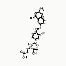 Nc1nc(O)c2nc(CNc3ccc(C(=O)NC(CCC(=O)O)C(=O)O)cc3I)cnc2n1